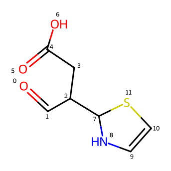 O=CC(CC(=O)O)C1NC=CS1